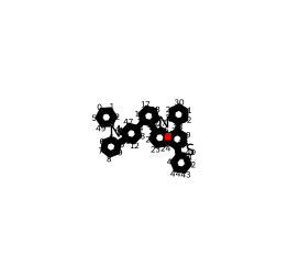 c1ccc(-n2c3ccccc3c3ccc(-c4cccc5c4c4ccccc4n5-c4ccccc4-c4ccc5c(c4)sc4ccccc45)cc32)cc1